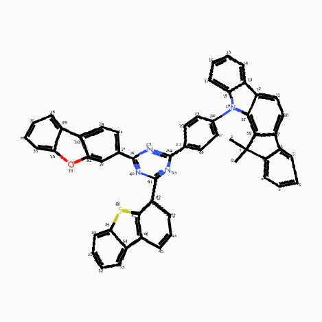 CC1(C)c2ccccc2-c2ccc3c4ccccc4n(-c4ccc(-c5nc(-c6ccc7c(c6)oc6ccccc67)nc(C6CC=Cc7c6sc6ccccc76)n5)cc4)c3c21